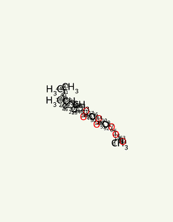 CCC1(COCCOc2ccc(C(=O)Oc3ccc(C(=O)OC4CCC5(C)C(=CCC6C5CCC5(C)C(C(C)CCCC(C)C)CCC65)C4)cc3)cc2)COC1